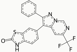 O=c1[nH]c2ccc(-c3c(-c4ccccc4)nn4cnc(C(F)(F)F)cc34)cc2s1